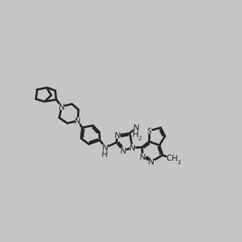 Cc1nnc(-n2nc(Nc3ccc(N4CCN(C5CC6CCC5C6)CC4)cc3)nc2N)c2sccc12